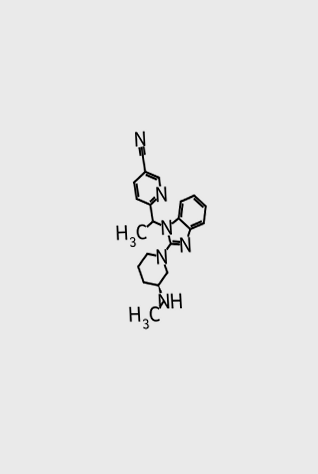 CN[C@H]1CCCN(c2nc3ccccc3n2C(C)c2ccc(C#N)cn2)C1